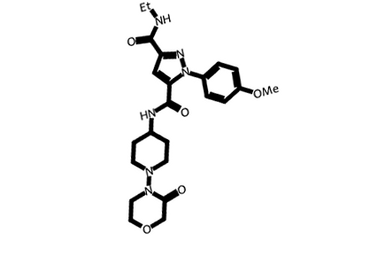 CCNC(=O)c1cc(C(=O)NC2CCN(N3CCOCC3=O)CC2)n(-c2ccc(OC)cc2)n1